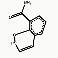 NC(=O)c1cccc2c1ONC=C2